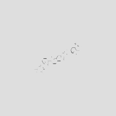 Cc1ncc(C(=O)NCc2cc3nc(-c4cccc(N5CC(C)OC(C)C5=O)n4)ccc3cn2)cc1S(C)(=O)=O